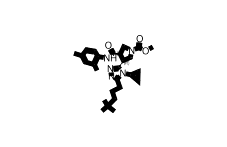 COC(=O)N1C[C@H](C(=O)Nc2ccc(C)cc2C)[C@@H](c2nnc(CCCC(C)(C)C)n2C2CC2)C1